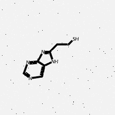 SCCc1nc2ncncc2[nH]1